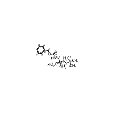 C[Si](C)(C)CC[C@](N)(CNC(=O)OCc1ccccc1)C(=O)O